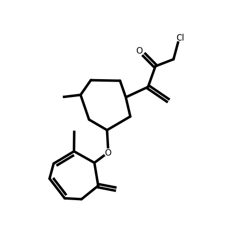 C=C(C(=O)CCl)C1CCC(C)CC(OC2C(=C)CC=CC=C2C)C1